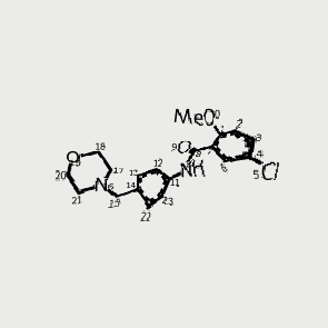 COc1ccc(Cl)cc1C(=O)Nc1ccc(CN2CCOCC2)cc1